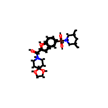 CC1CC(C)CN(S(=O)(=O)c2ccc3oc(C(=O)N4CCC5(CC4)OCCO5)cc3c2)C1